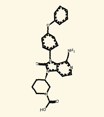 Nc1nccc2c1n(-c1ccc(Oc3ccccc3)cc1)c(=O)n2[C@@H]1CCCN(C(=O)O)C1